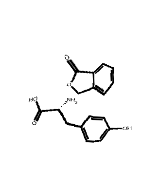 N[C@H](Cc1ccc(O)cc1)C(=O)O.O=C1OCc2ccccc21